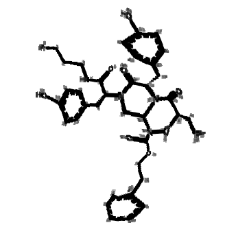 CC(C)CCCNC(=O)[C@H](Cc1ccc(O)cc1)N1CC2N(C(=O)OCCc3ccccc3)O[C@H](CC(C)C)C(=O)N2[C@@H](Cc2ccc(O)cc2)C1=O